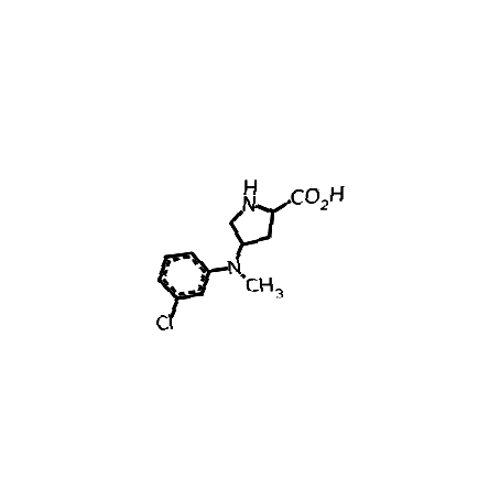 CN(c1cccc(Cl)c1)C1CNC(C(=O)O)C1